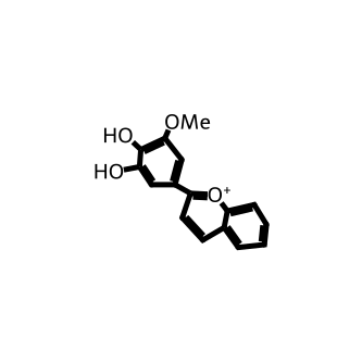 COc1cc(-c2ccc3ccccc3[o+]2)cc(O)c1O